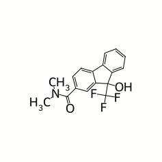 CN(C)C(=O)c1ccc2c(c1)C(O)(C(F)(F)F)c1ccccc1-2